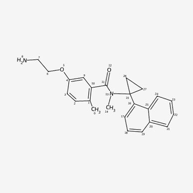 Cc1ccc(OCCN)cc1C(=O)N(C)C1(c2cccc3ccccc23)CC1